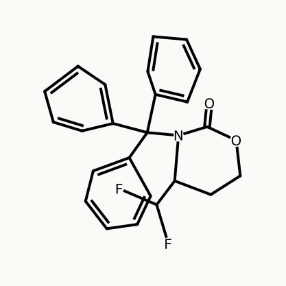 O=C1OCCC(C(F)F)N1C(c1ccccc1)(c1ccccc1)c1ccccc1